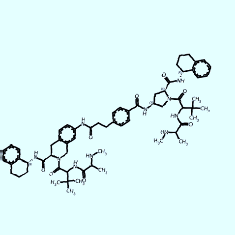 CNC(C)C(=O)NC(C(=O)N1Cc2cc(NC(=O)CCc3ccc(C(=O)N[C@H]4C[C@@H](C(=O)N[C@@H]5CCCc6ccccc65)N(C(=O)C(NC(=O)C(C)NC)C(C)(C)C)C4)cc3)ccc2CC1C(=O)N[C@@H]1CCCc2ccccc21)C(C)(C)C